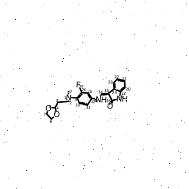 CN(CCC1OCCO1)c1ccc(NC=C2C(=O)Nc3ccccc32)cc1F